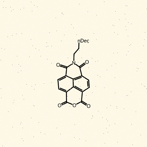 CCCCCCCCCCCCN1C(=O)c2ccc3c4c(ccc(c24)C1=O)C(=O)OC3=O